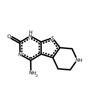 Nc1nc(=O)[nH]c2sc3c(c12)CCNC3